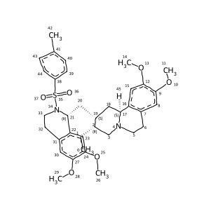 CC[C@H]1CN2CCc3cc(OC)c(OC)cc3[C@@H]2C[C@H]1C[C@@H]1c2cc(OC)c(OC)cc2CCN1S(=O)(=O)c1ccc(C)cc1